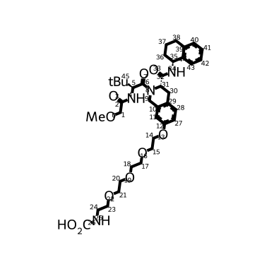 COCC(=O)N[C@H](C(=O)N1Cc2cc(OCCOCCOCCOCCNC(=O)O)ccc2C[C@H]1C(=O)N[C@@H]1CCCc2ccccc21)C(C)(C)C